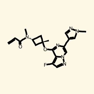 C=CC(=O)N(C)[C@H]1C[C@@](C)(Oc2nc(-c3cnn(C)c3)cn3ncc(F)c23)C1